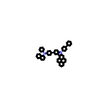 c1ccc(-c2ccc(-n3c4ccc(-c5ccc(N(c6ccccc6)c6cccc7ccccc67)cc5)cc4c4c5ccc6cccc7ccc(cc43)c5c76)cc2)cc1